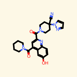 N#CC1(n2cccn2)CCN(C(=O)c2cc(C(=O)N3CCCCC3)c3cc(O)ccc3n2)CC1